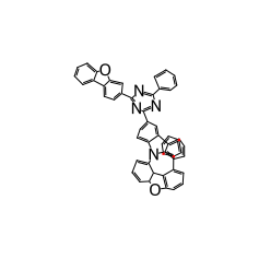 C1=CC2Oc3cccc(-c4ccccc4)c3C2C(n2c3ccccc3c3cc(-c4nc(-c5ccccc5)nc(-c5ccc6c(c5)oc5ccccc56)n4)ccc32)=C1